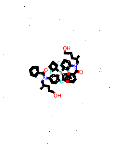 CC(CCCO)CN(C(=O)c1ccccc1)c1ccc(F)[c]([Ti]([c]2c(F)ccc(N(CC(C)CCCO)C(=O)c3ccccc3)c2F)([CH]2C=CC=C2)[CH]2C=CC=C2)c1F